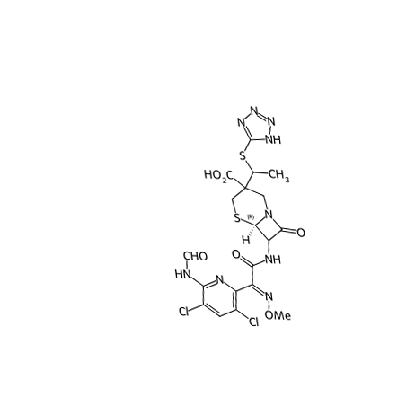 CON=C(C(=O)NC1C(=O)N2CC(C(=O)O)(C(C)Sc3nnn[nH]3)CS[C@H]12)c1nc(NC=O)c(Cl)cc1Cl